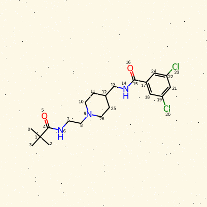 CC(C)(C)C(=O)NCCN1CCC(CNC(=O)c2cc(Cl)cc(Cl)c2)CC1